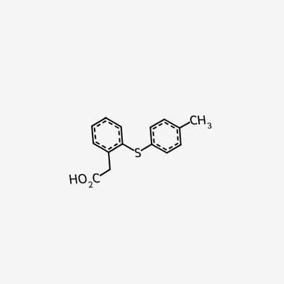 Cc1ccc(Sc2ccccc2CC(=O)O)cc1